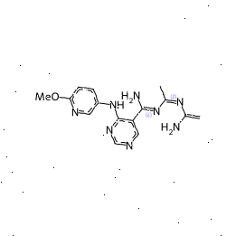 C=C(N)/N=C(C)\N=C(/N)c1cncnc1Nc1ccc(OC)nc1